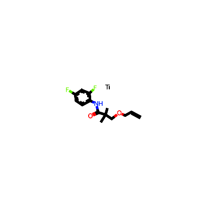 C=CCOCC(C)(C)C(=O)Nc1ccc(F)[c]c1F.[Ti]